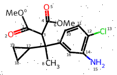 COC(=O)C(C(=O)OC)C(C)(c1ccc(Cl)c(N)c1)C1CC1